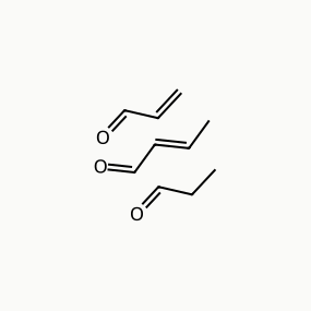 C=CC=O.CC=CC=O.CCC=O